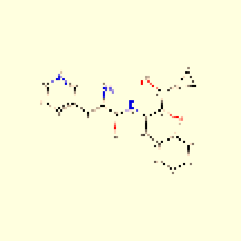 NC(Cc1cccnc1)C(=O)NC(CC1CCCCC1)C(O)C(O)C1CC1